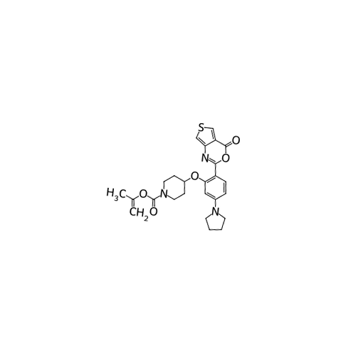 C=C(C)OC(=O)N1CCC(Oc2cc(N3CCCC3)ccc2-c2nc3cscc3c(=O)o2)CC1